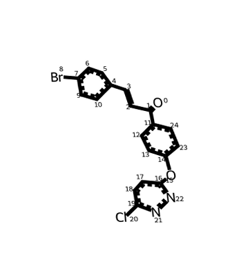 O=C(C=Cc1ccc(Br)cc1)c1ccc(Oc2ccc(Cl)nn2)cc1